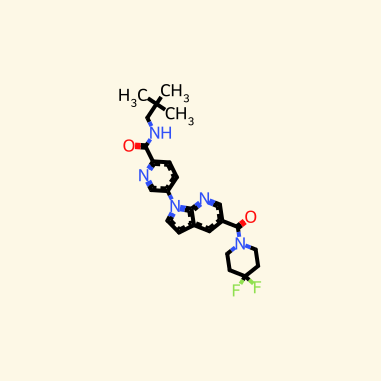 CC(C)(C)CNC(=O)c1ccc(-n2ccc3cc(C(=O)N4CCC(F)(F)CC4)cnc32)cn1